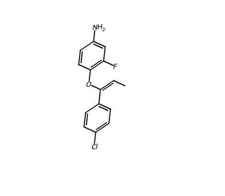 CC=C(Oc1ccc(N)cc1F)c1ccc(Cl)cc1